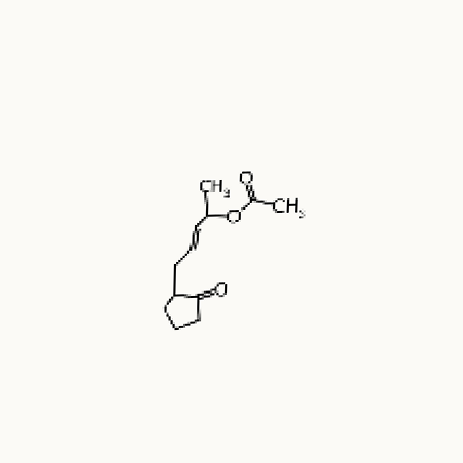 CC(=O)OC(C)/C=C/CC1CCCC1=O